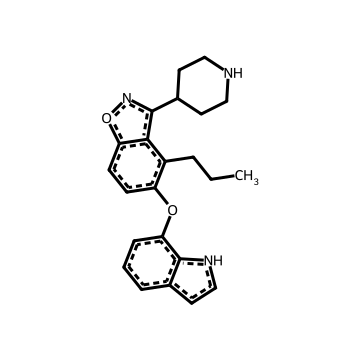 CCCc1c(Oc2cccc3cc[nH]c23)ccc2onc(C3CCNCC3)c12